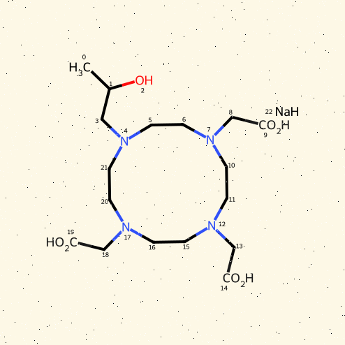 CC(O)CN1CCN(CC(=O)O)CCN(CC(=O)O)CCN(CC(=O)O)CC1.[NaH]